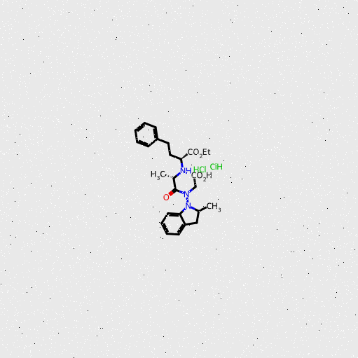 CCOC(=O)[C@H](CCc1ccccc1)N[C@@H](C)C(=O)N(CC(=O)O)N1c2ccccc2CC1C.Cl.Cl